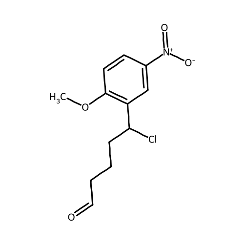 COc1ccc([N+](=O)[O-])cc1C(Cl)CCCC=O